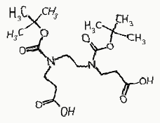 CC(C)(C)OC(=O)N(CCC(=O)O)CCN(CCC(=O)O)C(=O)OC(C)(C)C